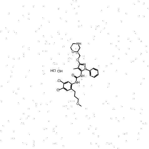 COCCCc1cc(Cl)c(Cl)cc1NC(=O)Nc1c(C)c(OC[C@@H]2CNCCO2)nn1-c1ccccc1.Cl.Cl